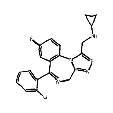 Fc1ccc2c(c1)C(c1ccccc1Cl)=NCc1nnc(CNC3CC3)n1-2